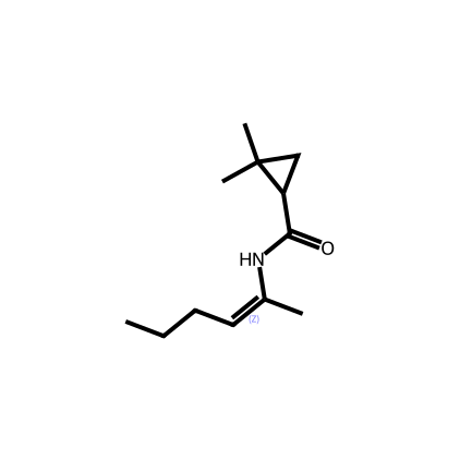 CCC/C=C(/C)NC(=O)C1CC1(C)C